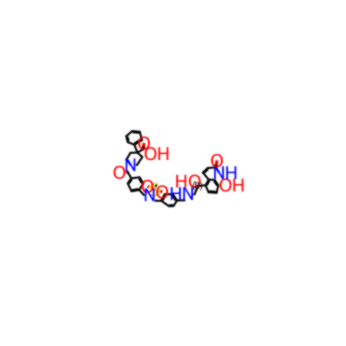 CS(=O)(=O)N(Cc1ccc(CNC[C@H](O)c2ccc(O)c3[nH]c(=O)ccc23)cc1)Cc1ccc(C(=O)N2CCC(C(=O)O)(c3ccccc3)CC2)cc1